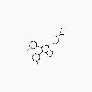 Cc1cccc(-c2c(-c3ccnc(Cl)c3)nc(N3CCN(C(=O)OC(C)(C)C)CC3)n3cnnc23)c1